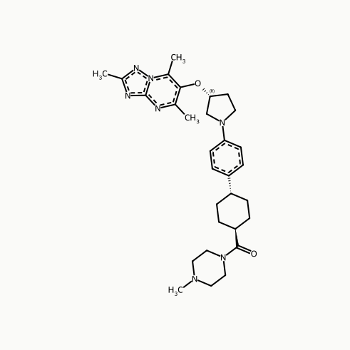 Cc1nc2nc(C)c(O[C@@H]3CCN(c4ccc([C@H]5CC[C@H](C(=O)N6CCN(C)CC6)CC5)cc4)C3)c(C)n2n1